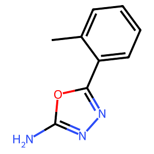 Cc1ccccc1-c1nnc(N)o1